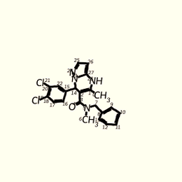 CC1=C(C(=O)N(C)Cc2ccccc2)C(c2ccc(Cl)c(Cl)c2)n2nccc2N1